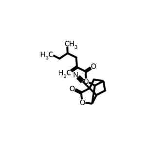 C=C(CC(C)CC)C(=O)OC1C2CC3C1OC(=O)C3(C#N)C2